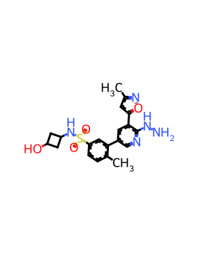 Cc1cc(-c2cc(-c3cc(S(=O)(=O)NC4CC(O)C4)ccc3C)cnc2NN)on1